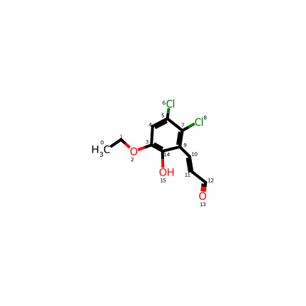 CCOc1cc(Cl)c(Cl)c(C=CC=O)c1O